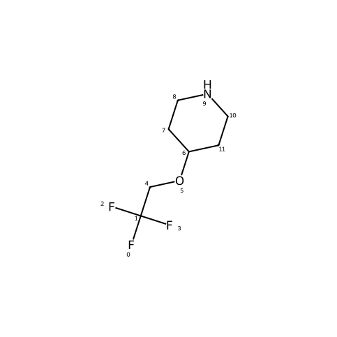 FC(F)(F)COC1CCNCC1